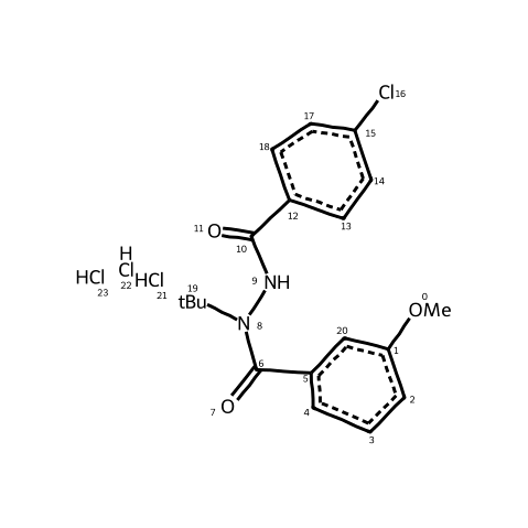 COc1cccc(C(=O)N(NC(=O)c2ccc(Cl)cc2)C(C)(C)C)c1.Cl.Cl.Cl